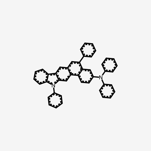 c1ccc(-c2cc3cc4c5ccccc5n(-c5ccccc5)c4cc3c3ccc(N(c4ccccc4)c4ccccc4)cc23)cc1